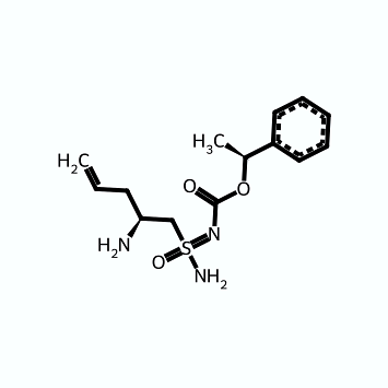 C=CC[C@H](N)CS(N)(=O)=NC(=O)O[C@@H](C)c1ccccc1